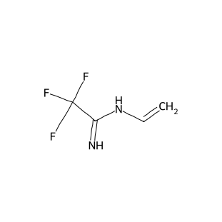 C=CNC(=N)C(F)(F)F